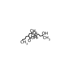 CCCCC(CC(C)(C)OOCCC(C)O)C(=O)O